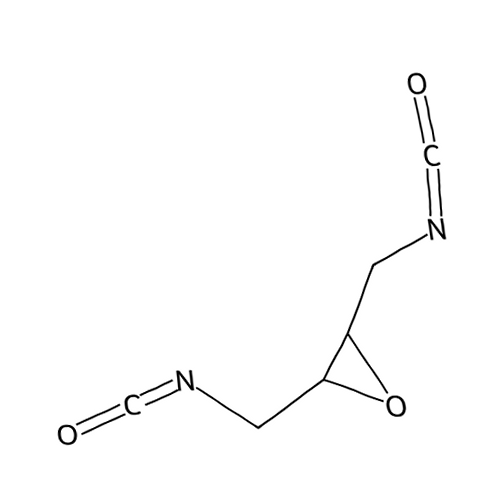 O=C=NCC1OC1CN=C=O